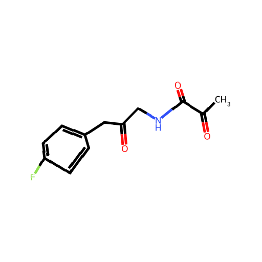 CC(=O)C(=O)NCC(=O)Cc1ccc(F)cc1